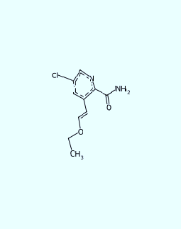 CCO/C=C/c1cc(Cl)cnc1C(N)=O